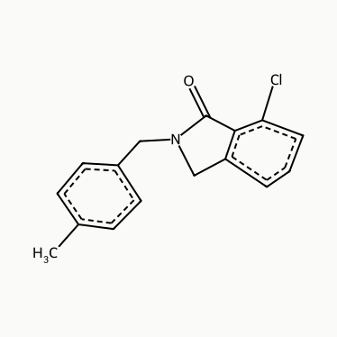 Cc1ccc(CN2Cc3cccc(Cl)c3C2=O)cc1